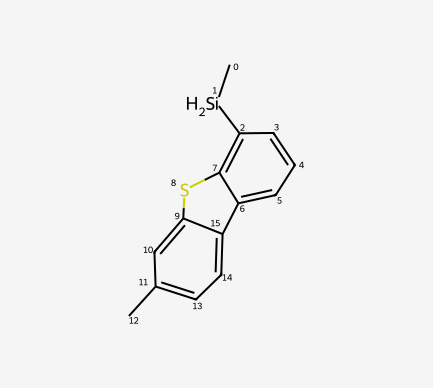 C[SiH2]c1cccc2c1sc1cc(C)ccc12